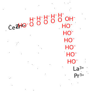 [Ce+3].[La+3].[OH-].[OH-].[OH-].[OH-].[OH-].[OH-].[OH-].[OH-].[OH-].[OH-].[OH-].[OH-].[OH-].[Pr+3].[Zr+4]